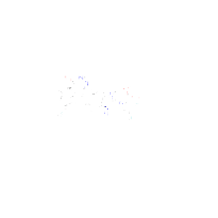 O=C(O)N(CC(F)F)c1nc2cc(-c3n[nH]c(=O)c4ccc(F)cc34)ccc2[nH]1